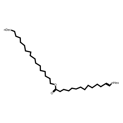 CCCCCCC=CCCCCCCCCCCCC(=O)OCCCCCCCCCCCCCCCCCCCCCCCCCC